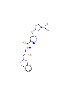 CC(O)N1CC[C@H](Nc2cc(C(=O)NC[C@H](O)CN3CCc4ccccc4C3)ncn2)C1